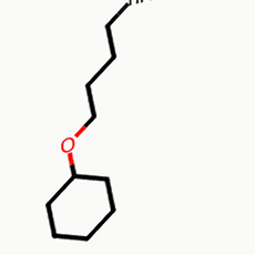 CCCCCCCCCCOC1CCCCC1